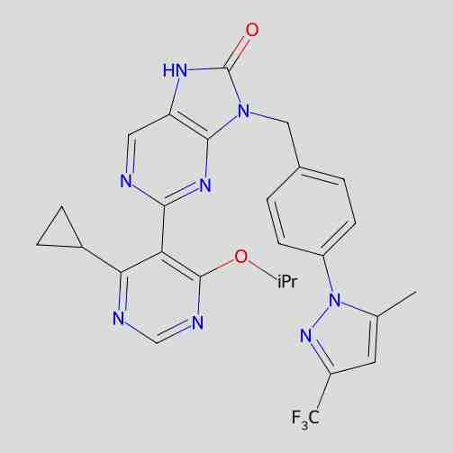 Cc1cc(C(F)(F)F)nn1-c1ccc(Cn2c(=O)[nH]c3cnc(-c4c(OC(C)C)ncnc4C4CC4)nc32)cc1